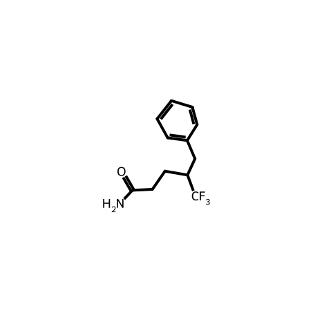 NC(=O)CCC(Cc1ccccc1)C(F)(F)F